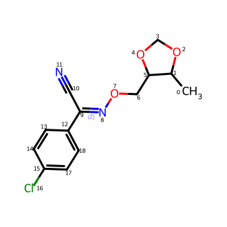 CC1OCOC1CO/N=C(\C#N)c1ccc(Cl)cc1